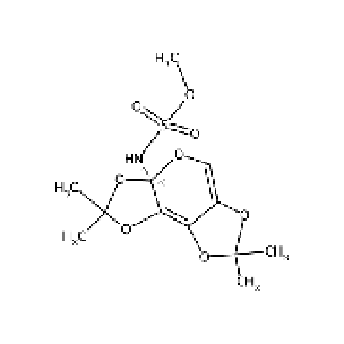 COS(=O)(=O)N[C@]12OC=C3OC(C)(C)OC3=C1OC(C)(C)O2